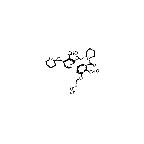 CCOCCOc1cccc(C(=O)N2CCCC[C@H]2COc2cccc(OC3CCCCO3)c2C=O)c1C=O